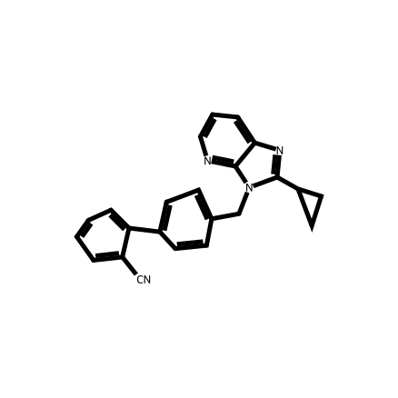 N#Cc1ccccc1-c1ccc(Cn2c(C3CC3)nc3cccnc32)cc1